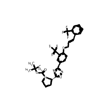 CC(C)(C)OC(=O)N1CCC[C@H]1c1nc(-c2ccc(OC/C=C/c3ccccc3C(F)(F)F)c(C(F)(F)F)c2)no1